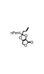 C=CCC1(CCCCC)OC2=C(O1)C(=O)OC2